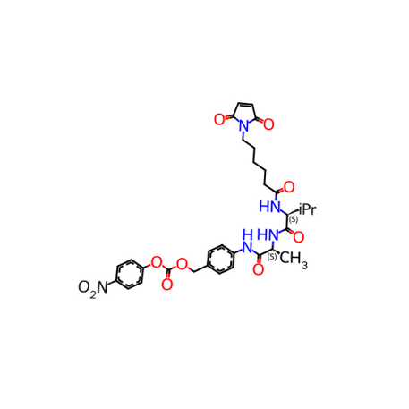 CC(C)[C@H](NC(=O)CCCCCN1C(=O)C=CC1=O)C(=O)N[C@@H](C)C(=O)Nc1ccc(COC(=O)Oc2ccc([N+](=O)[O-])cc2)cc1